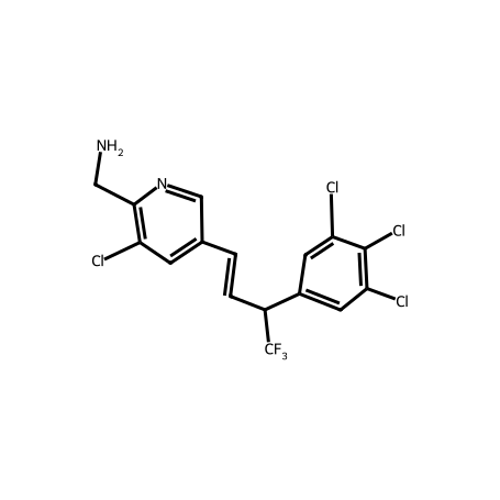 NCc1ncc(/C=C/C(c2cc(Cl)c(Cl)c(Cl)c2)C(F)(F)F)cc1Cl